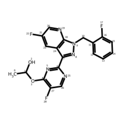 CC(O)Oc1nc(-c2nn(Cc3ccccc3F)c3ncc(F)cc23)ncc1F